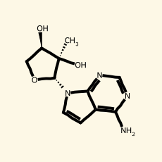 C[C@@]1(O)[C@H](O)CO[C@H]1n1ccc2c(N)ncnc21